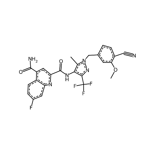 COc1cc(Cn2nc(C(F)(F)F)c(NC(=O)c3cc(C(N)=O)c4ccc(F)cc4n3)c2C)ccc1C#N